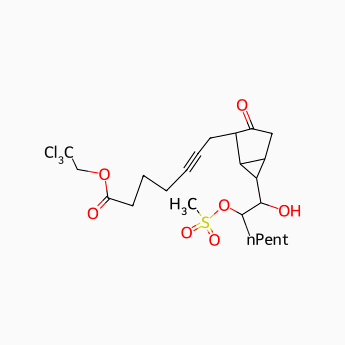 CCCCCC(OS(C)(=O)=O)C(O)C1C2CC(=O)C(CC#CCCCC(=O)OCC(Cl)(Cl)Cl)C21